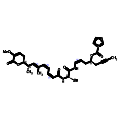 CC#CC[C@@H](C/C=C\NC(=O)[C@@H](NC(=O)\C=C/C=C\C(C)=C\[C@H](C)[C@@H]1CC=C(OC)C(=O)O1)C(C)(C)C)OC(=O)n1ccnc1